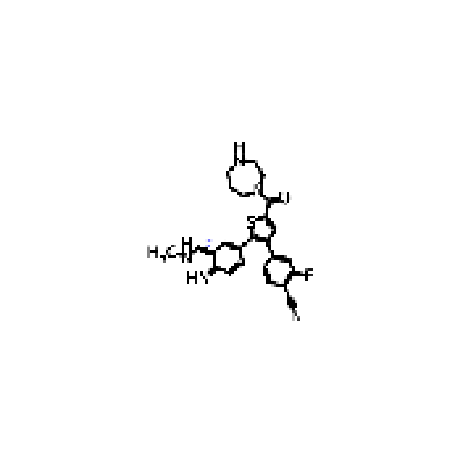 CN/C=C1/C=C(c2sc(C(=O)N3CCCNCC3)cc2-c2ccc(C#N)c(F)c2)C=CC1=N